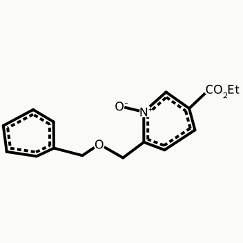 CCOC(=O)c1ccc(COCc2ccccc2)[n+]([O-])c1